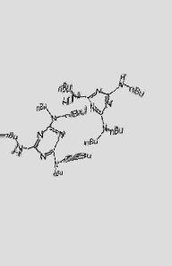 CCCCNc1nc(N(CCCC)CCCC)nc(N(CCCC)CCCC)n1.CCCCNc1nc(NCCCC)nc(N(CCCC)CCCC)n1